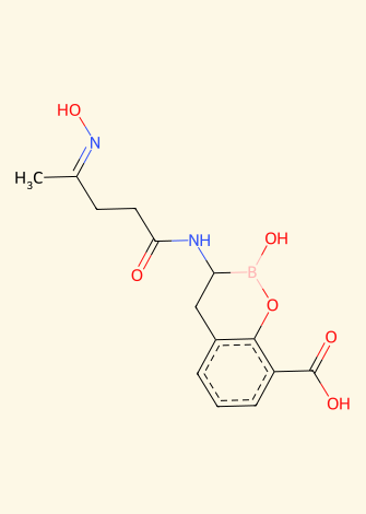 CC(CCC(=O)NC1Cc2cccc(C(=O)O)c2OB1O)=NO